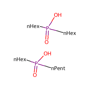 CCCCCCP(=O)(O)CCCCC.CCCCCCP(=O)(O)CCCCCC